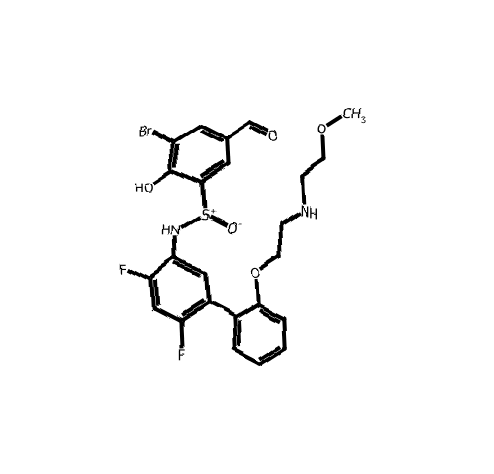 COCCNCCOc1ccccc1-c1cc(N[S+]([O-])c2cc(C=O)cc(Br)c2O)c(F)cc1F